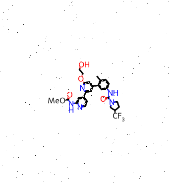 COC(=O)Nc1cc(-c2cc(-c3cc(NC(=O)N4CCC(C(F)(F)F)C4)ccc3C)cc(OCCO)n2)ccn1